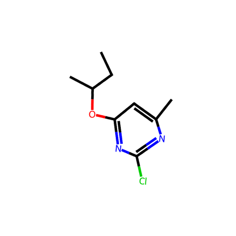 CCC(C)Oc1cc(C)nc(Cl)n1